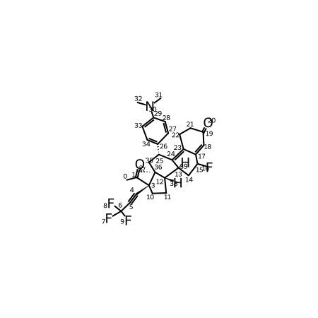 CC(=O)[C@@]1(C#CC(F)(F)F)CC[C@H]2[C@@H]3CC(F)C4=CC(=O)CCC4=C3[C@@H](c3ccc(N(C)C)cc3)C[C@@]21C